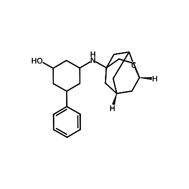 OC1CC(NC23CC[C@H]4CC(C[C@H](C4)C2)C3)CC(c2ccccc2)C1